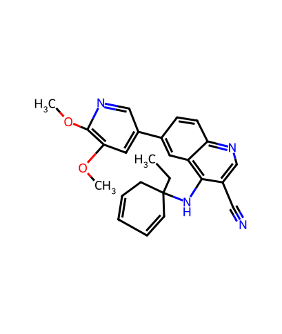 CCC1(Nc2c(C#N)cnc3ccc(-c4cnc(OC)c(OC)c4)cc23)C=CC=CC1